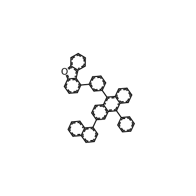 c1ccc(-c2c3ccccc3c(-c3cccc(-c4cccc5oc6ccccc6c45)c3)c3ccc(-c4cccc5ccccc45)cc23)cc1